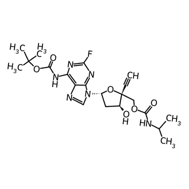 C#C[C@]1(COC(=O)NC(C)C)O[C@@H](n2cnc3c(NC(=O)OC(C)(C)C)nc(F)nc32)C[C@@H]1O